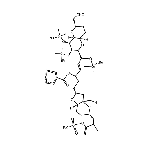 C=C(OS(=O)(=O)C(F)(F)F)C(C)C[C@H]1CC[C@@H]2O[C@@H](CCC(/C=C/C(O[Si](C)(C)C(C)(C)C)[C@@H]3O[C@H]4CC[C@H](CC=O)O[C@@H]4[C@H](O[Si](C)(C)C(C)(C)C)[C@@H]3O[Si](C)(C)C(C)(C)C)OC(=O)c3ccccc3)C[C@]2(CI)O1